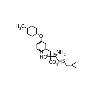 C[C@H]1CC[C@H](OC2=CC=NC(C[C@](O)(C(=O)O)[C@@H](N)CSCC3CC3)C2)CC1